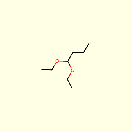 [CH2]CCC(OCC)OCC